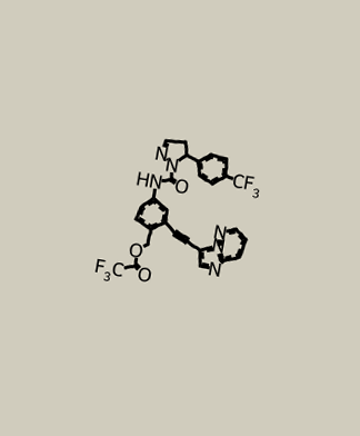 O=C(Nc1ccc(COC(=O)C(F)(F)F)c(C#Cc2cnc3cccnn23)c1)N1N=CCC1c1ccc(C(F)(F)F)cc1